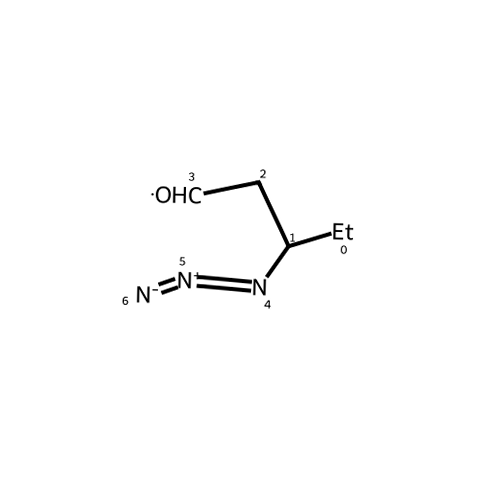 CCC(C[C]=O)N=[N+]=[N-]